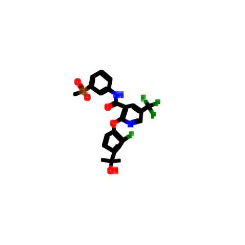 CC(C)(O)c1ccc(Oc2ncc(C(F)(F)F)cc2C(=O)Nc2cccc(S(C)(=O)=O)c2)c(F)c1